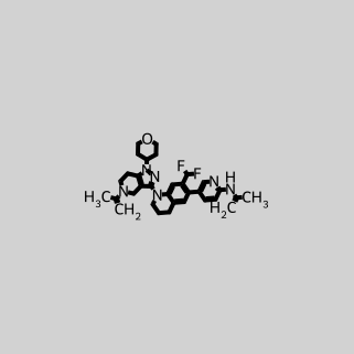 C=C(C)Nc1ccc(-c2cc3c(cc2C(F)F)N(c2nn(C4CCOCC4)c4c2CN(C(=C)C)CC4)CCC3)cn1